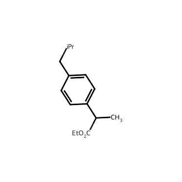 CCOC(=O)C(C)c1ccc(CC(C)C)cc1